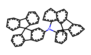 CC1(C)c2ccccc2-c2ccc3cccc(N(c4ccccc4)c4ccc5c(c4)C4(c6ccccc6-c6ccccc64)c4ccccc4-5)c3c21